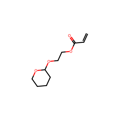 C=CC(=O)OCCOC1CCCCO1